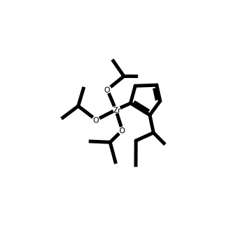 CCC(C)C1=[C]([Zr]([O]C(C)C)([O]C(C)C)[O]C(C)C)CC=C1